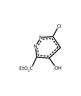 CCOC(=O)c1nnc(Cl)cc1O